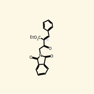 CCOC(=O)/C(=C\c1ccccc1)C(=O)CN1C(=O)c2ccccc2C1=O